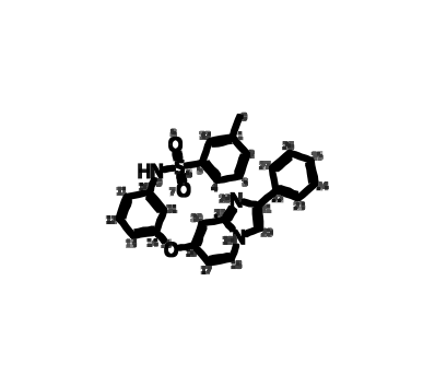 Cc1cccc(S(=O)(=O)Nc2cccc(Oc3ccn4cc(-c5ccccc5)nc4c3)c2)c1